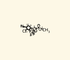 CCOC(=O)[C@@H]1CN(c2ccc(C#N)c(Cl)c2)[C@@H](C(F)(F)F)O1